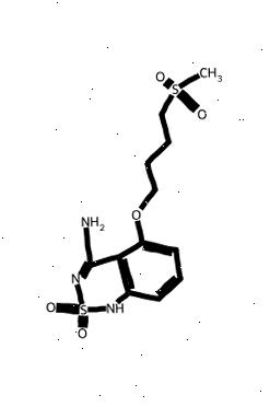 CS(=O)(=O)CCCCOc1cccc2c1C(N)=NS(=O)(=O)N2